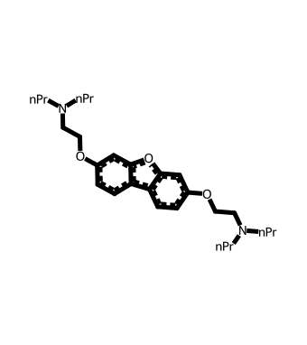 CCCN(CCC)CCOc1ccc2c(c1)oc1cc(OCCN(CCC)CCC)ccc12